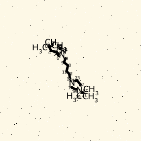 CC(C)(C)Cc1cn(CCCCCCN2CCN(C(C)(C)C)CC2)nn1